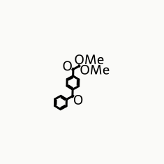 COC(OC)C(=O)c1ccc(C(=O)c2ccccc2)cc1